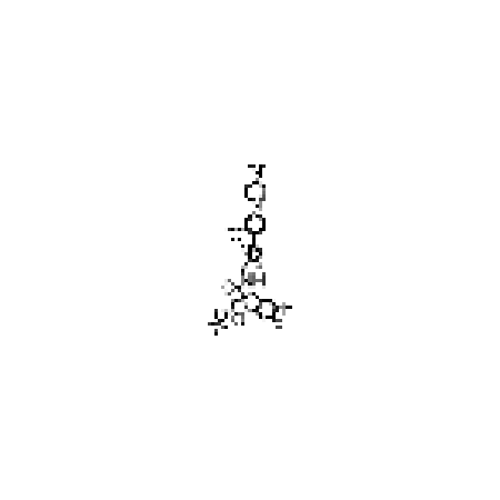 COc1cc(N2CCC(N(C)C)CC2)ccc1-c1csc(CNC(=O)C2(CC(=O)OC(C)(C)C)Cc3cc(F)c(F)cc3C2)n1